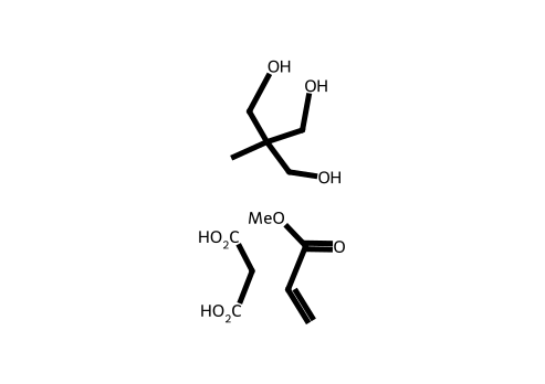 C=CC(=O)OC.CC(CO)(CO)CO.O=C(O)CC(=O)O